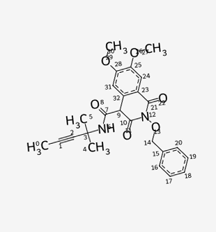 CC#CC(C)(C)NC(=O)C1C(=O)N(OCc2ccccc2)C(=O)c2cc(OC)c(OC)cc21